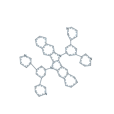 c1cncc(-c2cc(-c3cccnc3)cc(-n3c4cc5ccccc5cc4c4c3c3cc5ccccc5cc3n4-c3cc(-c4cccnc4)cc(-c4cccnc4)c3)c2)c1